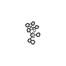 c1ccc(-c2nc(-c3cccc4c3-c3oc5ccccc5c3C43c4ccccc4-c4ccccc43)cc(-c3cccc4ccccc34)n2)cc1